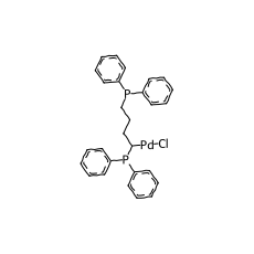 [Cl][Pd][CH](CCCP(c1ccccc1)c1ccccc1)P(c1ccccc1)c1ccccc1